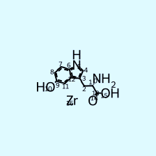 N[C@@H](Cc1c[nH]c2ccc(O)cc12)C(=O)O.[Zr]